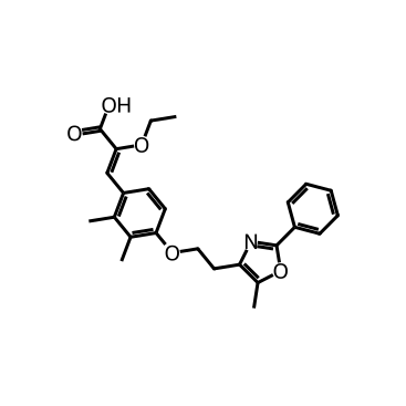 CCOC(=Cc1ccc(OCCc2nc(-c3ccccc3)oc2C)c(C)c1C)C(=O)O